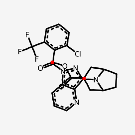 COC(=O)C1CC2CCC(C1)N2c1nn(C(=O)c2c(Cl)cccc2C(F)(F)F)c2cccnc12